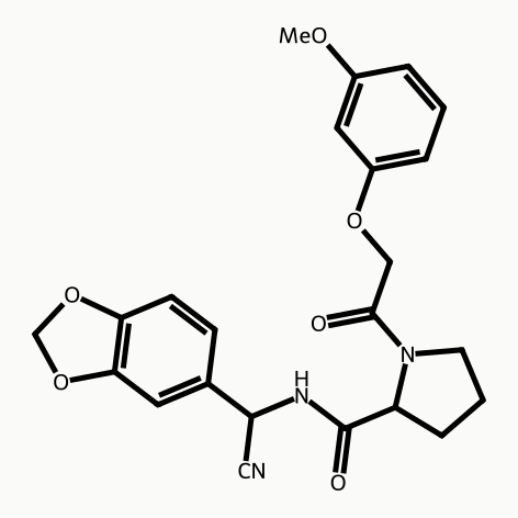 COc1cccc(OCC(=O)N2CCCC2C(=O)NC(C#N)c2ccc3c(c2)OCO3)c1